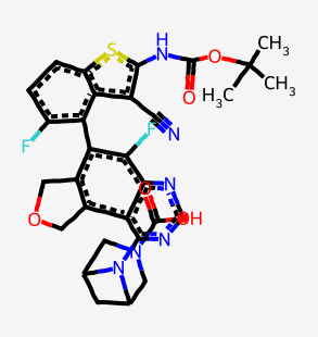 CC(C)(C)OC(=O)Nc1sc2ccc(F)c(-c3c4c(c5c(N6C7CC6CN(C(=O)O)C7)ncnc5c3F)COC4)c2c1C#N